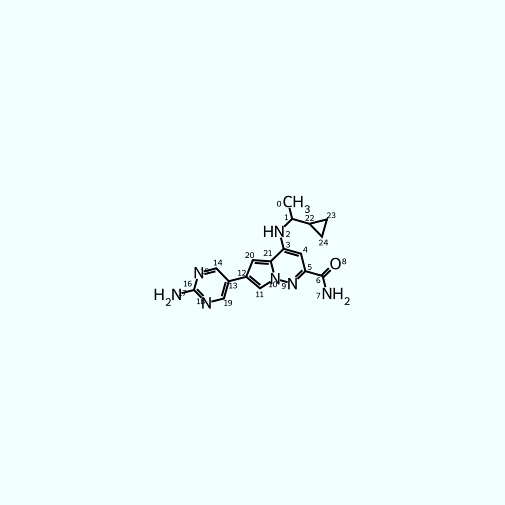 CC(Nc1cc(C(N)=O)nn2cc(-c3cnc(N)nc3)cc12)C1CC1